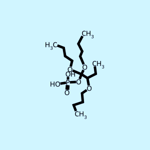 CCCCOC(CC)C(OCCCC)(OCCCC)OP(=O)(O)O